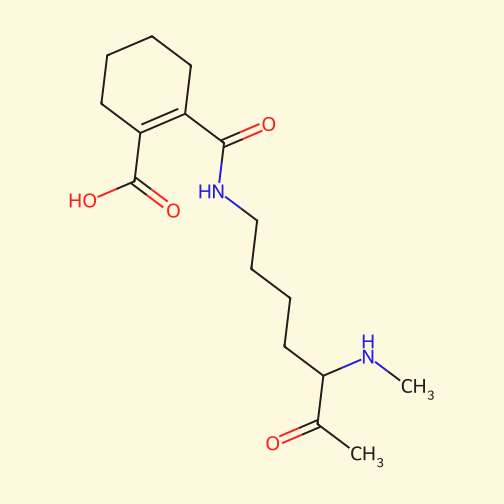 CNC(CCCCNC(=O)C1=C(C(=O)O)CCCC1)C(C)=O